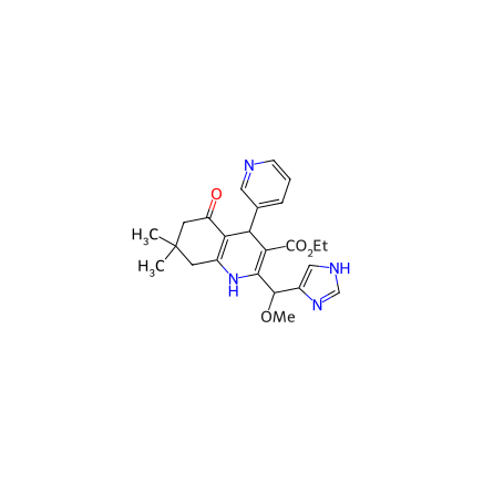 CCOC(=O)C1=C(C(OC)c2c[nH]cn2)NC2=C(C(=O)CC(C)(C)C2)C1c1cccnc1